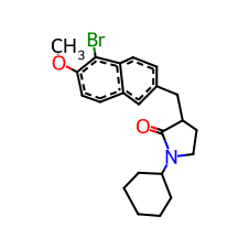 COc1ccc2cc(CC3CCN(C4CCCCC4)C3=O)ccc2c1Br